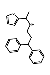 CC(NCCC(c1ccccc1)c1ccccc1)c1cccs1